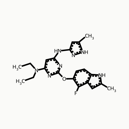 CCN(CC)c1cc(Nc2cc(C)[nH]n2)nc(Oc2ccc3[nH]c(C)cc3c2F)n1